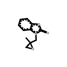 CC1(Cn2c(=O)oc3ccccc32)CO1